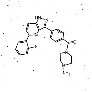 CN1CCN(C(=O)c2ccc(-c3n[nH]c4ccc(-c5ccccc5F)nc34)cc2)CC1